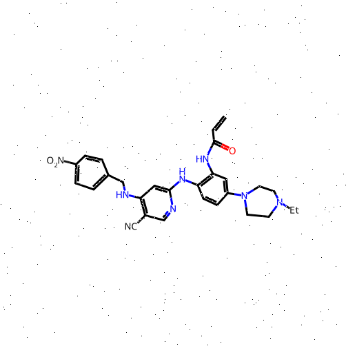 C=CC(=O)Nc1cc(N2CCN(CC)CC2)ccc1Nc1cc(NCc2ccc([N+](=O)[O-])cc2)c(C#N)cn1